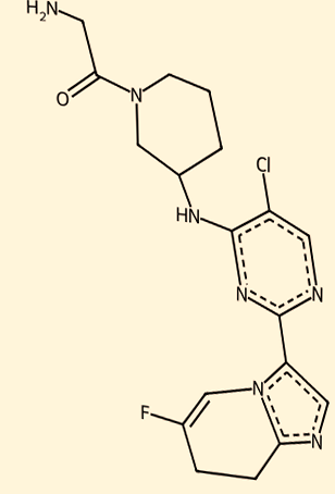 NCC(=O)N1CCCC(Nc2nc(-c3cnc4n3C=C(F)CC4)ncc2Cl)C1